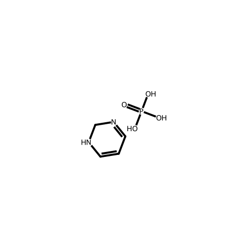 C1=CNCN=C1.O=P(O)(O)O